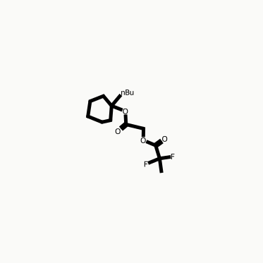 CCCCC1(OC(=O)COC(=O)C(C)(F)F)CCCCC1